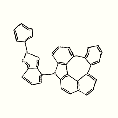 c1ccc(-n2nc3cccc(-n4c5cccc6c5c5c7c(cccc7ccc54)-c4ccccc4-6)c3n2)cc1